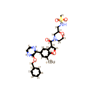 CC(C)(C)c1cc(-c2nccnc2OCc2ccccc2)cc2c(C(=O)N3CCOC(CNS(C)(=O)=O)C3)coc12